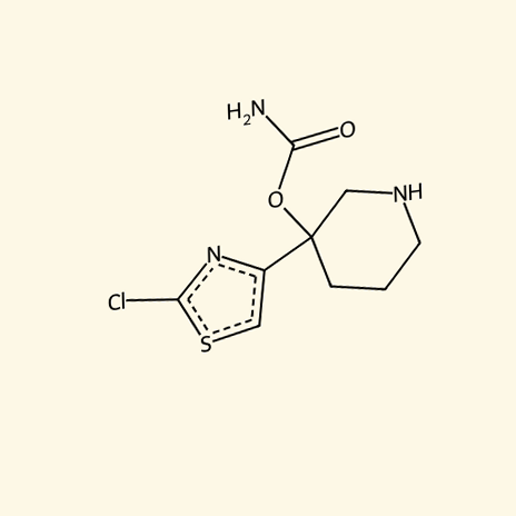 NC(=O)OC1(c2csc(Cl)n2)CCCNC1